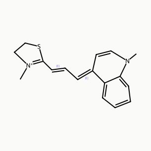 CN1C=C/C(=C\C=C\C2=[N+](C)CCS2)c2ccccc21